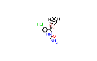 CC1(C)[C@@H]2CC3OB(C(CNC(=O)CN)c4ccccc4)O[C@@]3(C)[C@H]1C2.Cl